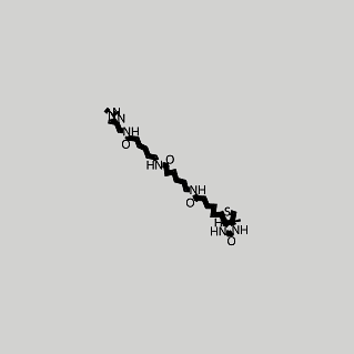 Cn1cc(CNC(=O)CCCCCNC(=O)CCCCCNC(=O)CCCCC2SC[C@]3(C)NC(=O)N[C@H]23)nn1